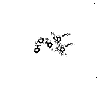 CC1(C)O[C@@H]2[C@H](O1)[C@@H](OCCO)C[C@H]2N.CC1(C)O[C@@H]2[C@H](O1)[C@@H](OCCO)C[C@H]2N.O=C(OC(C(=O)O)C(OC(=O)c1ccccc1)C(=O)O)c1ccccc1